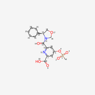 CS(=O)(=O)Oc1cc(C(=O)O)nc(C(=O)N2COC[C@@H]2c2ccccc2)c1